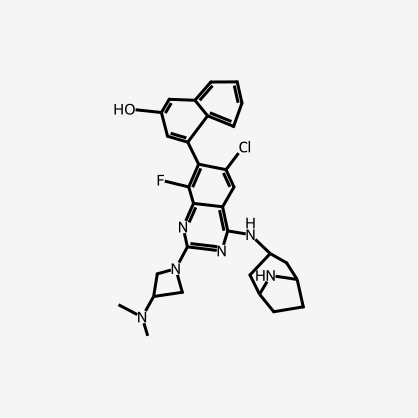 CN(C)C1CN(c2nc(NC3CC4CCC(C3)N4)c3cc(Cl)c(-c4cc(O)cc5ccccc45)c(F)c3n2)C1